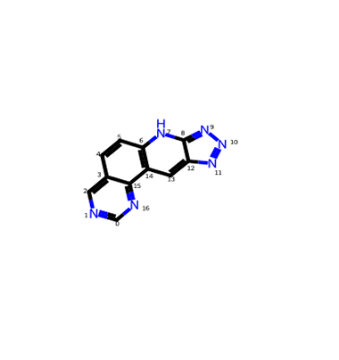 c1ncc2ccc3[nH]c4nnnc-4cc3c2n1